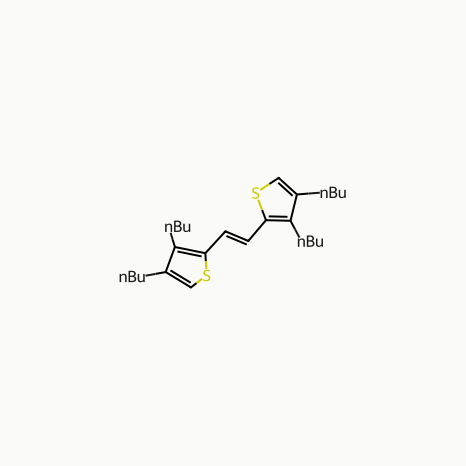 CCCCc1csc(C=Cc2scc(CCCC)c2CCCC)c1CCCC